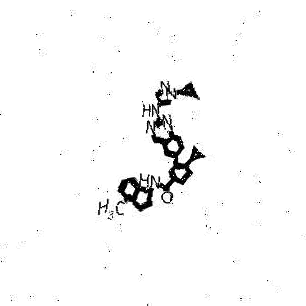 Cc1cccc2c1CCC2NC(=O)c1ccc(C2CC2)c(-c2ccc3nc(Nc4cnn(C5CC5)c4)ncc3c2)c1